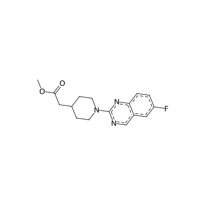 COC(=O)CC1CCN(c2ncc3cc(F)ccc3n2)CC1